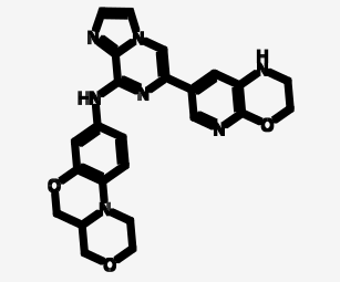 c1cn2cc(-c3cnc4c(c3)NCCO4)nc(Nc3ccc4c(c3)OCC3COCCN43)c2n1